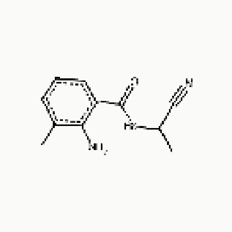 Cc1cccc(C(=O)NC(C)C#N)c1N